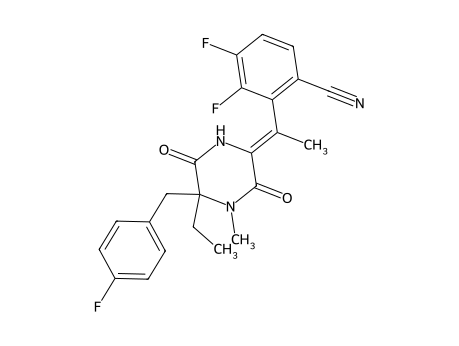 CCC1(Cc2ccc(F)cc2)C(=O)NC(=C(C)c2c(C#N)ccc(F)c2F)C(=O)N1C